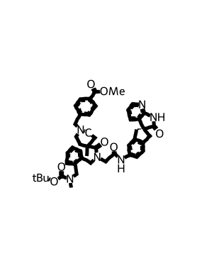 COC(=O)c1ccc(CN2CCC(C)(C(=O)N(CC(=O)Nc3ccc4c(c3)C[C@@]3(C4)C(=O)Nc4ncccc43)Cc3ccccc3CN(C)C(=O)OC(C)(C)C)CC2)cc1